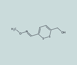 CO/N=C/C1=CC=C(CO)SS1